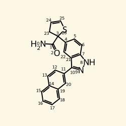 NC(=O)C1(c2ccc3[nH]nc(-c4ccc5ccccc5c4)c3c2)CC=CS1